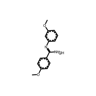 COc1ccc(C(N)=Nc2cccc(OC)c2)cc1.Cl